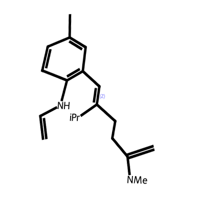 C=CNc1ccc(C)cc1/C=C(/CCC(=C)NC)C(C)C